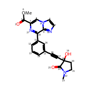 COC(=O)c1cn2ccnc2c(-c2cccc(C#CC3(O)CCN(C)C3=O)c2)n1